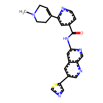 CN1CC=C(c2cc(C(=O)Nc3cc4cc(-c5cncs5)cnc4cn3)ccn2)CC1